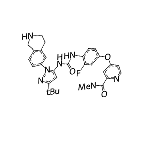 CNC(=O)c1cc(Oc2ccc(NC(=O)Nc3cc(C(C)(C)C)nn3-c3ccc4c(c3)CCNC4)c(F)c2)ccn1